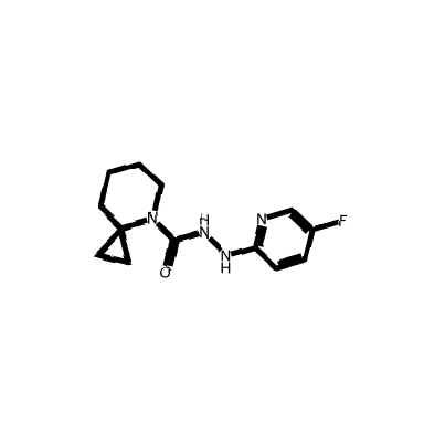 O=C(NNc1ccc(F)cn1)N1CCCCC12CC2